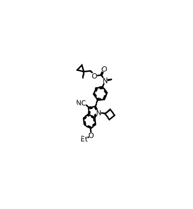 CCOc1ccc2c(C#N)c(-c3ccc(N(C)C(=O)OCC4(C)CC4)cc3)n(C3CCC3)c2c1